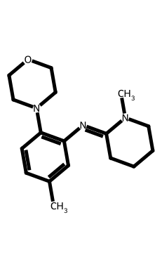 Cc1ccc(N2CCOCC2)c(N=C2CCCCN2C)c1